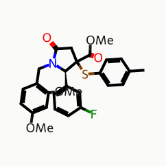 COC(=O)C1(Sc2ccc(C)cc2)CC(=O)N(Cc2ccc(OC)cc2OC)[C@@H]1c1cccc(F)c1